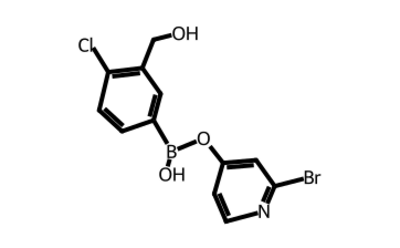 OCc1cc(B(O)Oc2ccnc(Br)c2)ccc1Cl